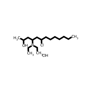 CCCCCCCC(Cl)CC(CC(C)O)N(CC)CC.Cl